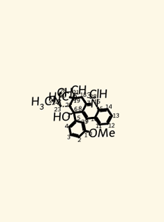 COc1cccc([C@@]2(O)c3cc4ccccc4nc3CC(C)(C)[C@H]2CN(C)C)c1.Cl